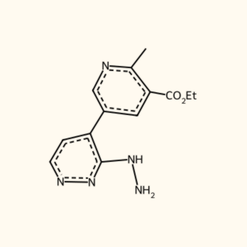 CCOC(=O)c1cc(-c2ccnnc2NN)cnc1C